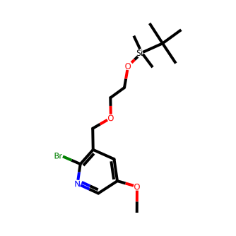 COc1cnc(Br)c(COCCO[Si](C)(C)C(C)(C)C)c1